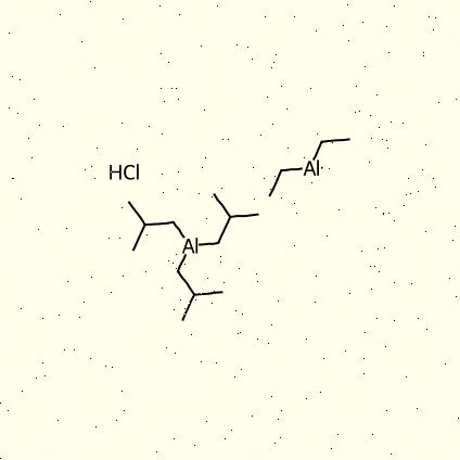 CC(C)[CH2][Al]([CH2]C(C)C)[CH2]C(C)C.C[CH2][Al][CH2]C.Cl